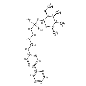 OC[C@H]1[C@@H](O)C(O)[C@@H](O)CN1CC(F)(F)CCCOCc1ccc(-c2ccccc2)cc1